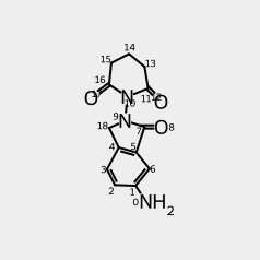 Nc1ccc2c(c1)C(=O)N(N1C(=O)CCCC1=O)C2